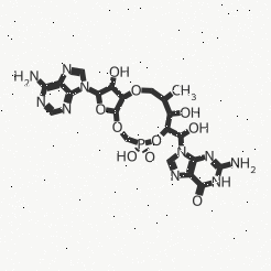 CC1COC2C(OCP(=O)(O)OC(C(O)n3cnc4c(=O)[nH]c(N)nc43)C1O)OC(n1cnc3c(N)ncnc31)C2O